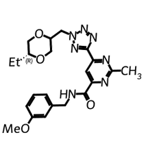 CC[C@@H]1COC(Cn2nnc(-c3cc(C(=O)NCc4cccc(OC)c4)nc(C)n3)n2)CO1